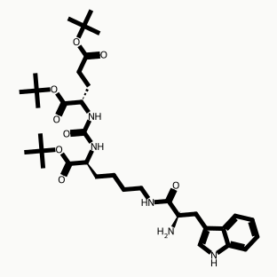 CC(C)(C)OC(=O)CC[C@H](NC(=O)N[C@@H](CCCCNC(=O)[C@H](N)Cc1c[nH]c2ccccc12)C(=O)OC(C)(C)C)C(=O)OC(C)(C)C